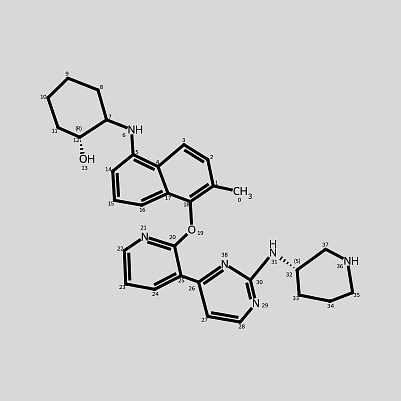 Cc1ccc2c(NC3CCCC[C@H]3O)cccc2c1Oc1ncccc1-c1ccnc(N[C@H]2CCCNC2)n1